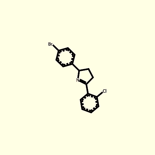 Clc1ccccc1C1=NC(c2ccc(Br)cc2)CC1